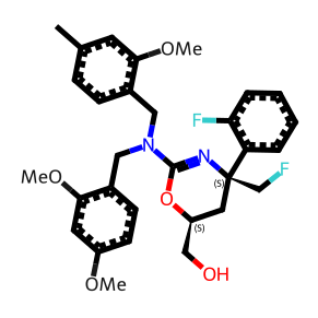 COc1ccc(CN(Cc2ccc(C)cc2OC)C2=N[C@](CF)(c3ccccc3F)C[C@@H](CO)O2)c(OC)c1